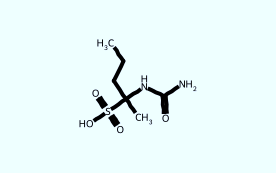 CCCC(C)(NC(N)=O)S(=O)(=O)O